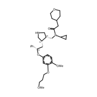 COCCCOc1cc(O[C@@H](C[C@@H]2CNC[C@@H]2CN(C(=O)CC2CCOCC2)C2CC2)C(C)C)ccc1OC